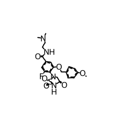 COc1ccc(COc2cc(C(=O)NCCN(C)C)cc(F)c2N2CC(=O)NS2(=O)=O)cc1